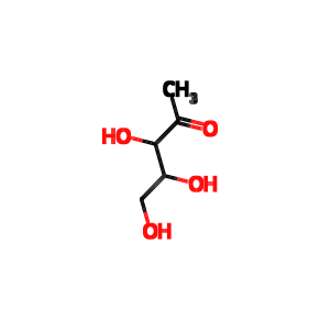 CC(=O)C(O)C(O)CO